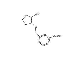 COc1cccc(CO[C@@H]2CCCC2C(C)C)c1